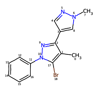 Cc1c(-c2cnn(C)c2)nn(-c2ccccc2)c1Br